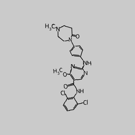 COc1nc(Nc2ccc(N3CCN(C)CCC3=O)cc2)ncc1C(=O)Nc1c(Cl)cccc1Cl